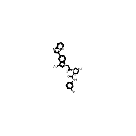 CC(=O)c1cn(CC(=O)N2C[C@H](F)C[C@H]2C(=O)Nc2cccc(Br)n2)c2ccc(-c3cnc4cccnn34)cc12